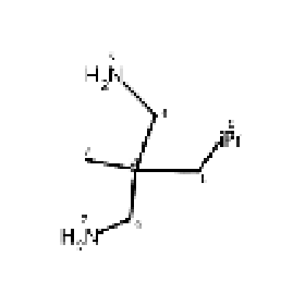 CC(C)CC(C)(CN)CN